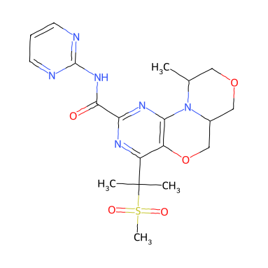 CC1COCC2COc3c(nc(C(=O)Nc4ncccn4)nc3C(C)(C)S(C)(=O)=O)N12